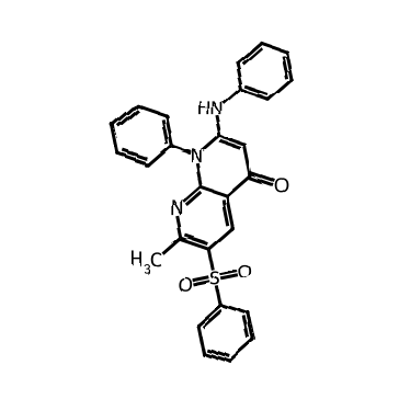 Cc1nc2c(cc1S(=O)(=O)c1ccccc1)c(=O)cc(Nc1ccccc1)n2-c1ccccc1